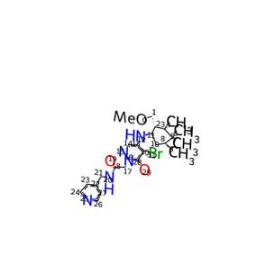 COC[C@@H]1[C@@H](C)C(C)(C)[C@@H](C)C[C@H]1Nc1cnn(CC(=O)NCc2ccncc2)c(=O)c1Br